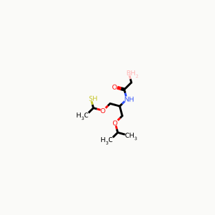 BCC(=O)NC(COC(C)C)COC(C)S